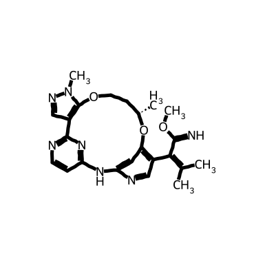 COC(=N)C(=C(C)C)c1cnc2cc1O[C@@H](C)CCOc1c(cnn1C)-c1nccc(n1)N2